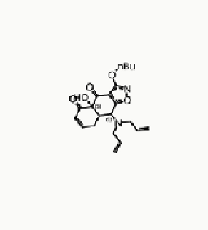 C=CCN(CC=C)[C@@H]1c2onc(OCCCC)c2C(=O)[C@@]2(O)C(=O)C=CCC12